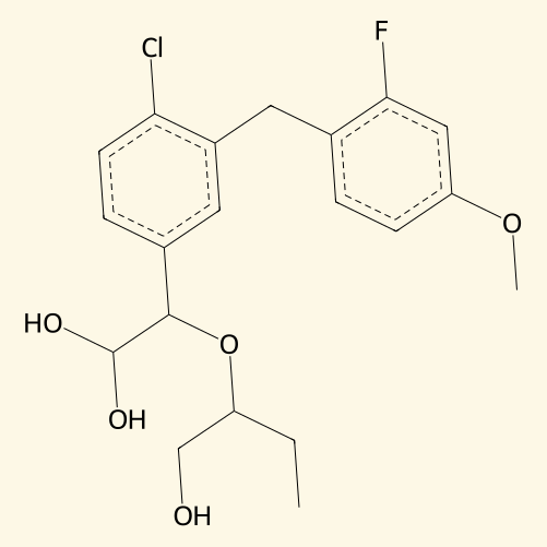 CCC(CO)OC(c1ccc(Cl)c(Cc2ccc(OC)cc2F)c1)C(O)O